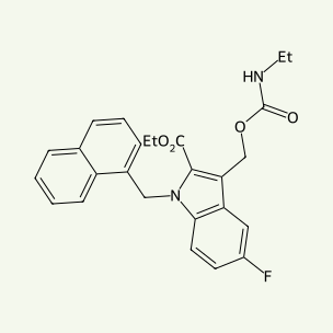 CCNC(=O)OCc1c(C(=O)OCC)n(Cc2cccc3ccccc23)c2ccc(F)cc12